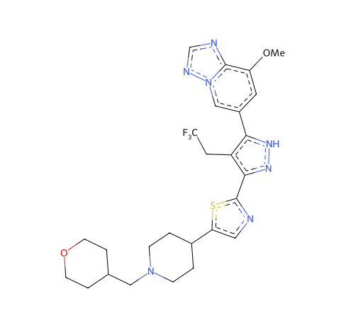 COc1cc(-c2[nH]nc(-c3ncc(C4CCN(CC5CCOCC5)CC4)s3)c2CC(F)(F)F)cn2ncnc12